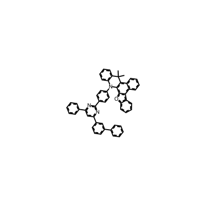 CC1(C)c2ccccc2N(c2ccc(-c3nc(-c4ccccc4)cc(-c4cccc(-c5ccccc5)c4)n3)cc2)c2c1c1ccccc1c1c2oc2ccccc21